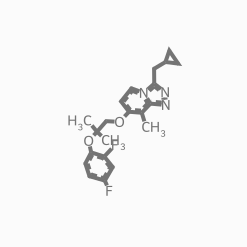 Cc1c(OCC(C)(C)Oc2ccc(F)cc2F)ccn2c(CC3CC3)nnc12